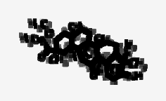 CON(C)C(=O)[C@@]1(C)CC[C@]2(C)CC[C@]3(C)C(=CC(=O)[C@@H]4[C@@]5(C)CCC(=N)C(C)(C)C5CC[C@]43C)[C@@H]2C1